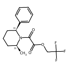 C[C@H]1CCC[C@@H](c2ccccc2)N1C(=O)C(=O)OCC(F)(F)F